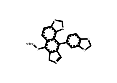 CCCCCCOc1c2c(c(-c3ccc4c(c3)OCO4)c3c4c(ccc13)OCO4)C=NC2